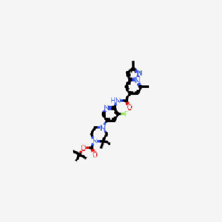 Cc1cc2cc(C(=O)Nc3ncc(N4CCN(C(=O)OC(C)(C)C)C(C)(C)C4)cc3F)cc(C)n2n1